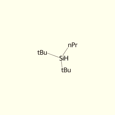 CCC[SiH](C(C)(C)C)C(C)(C)C